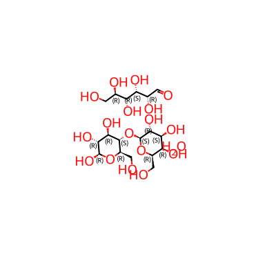 O.O=C[C@H](O)[C@@H](O)[C@H](O)[C@H](O)CO.OC[C@H]1O[C@@H](O[C@H]2[C@H](O)[C@@H](O)[C@H](O)O[C@@H]2CO)[C@H](O)[C@@H](O)[C@H]1O